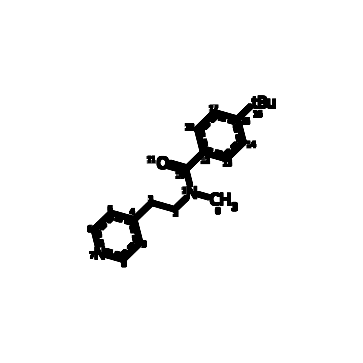 CN(CCc1ccncc1)C(=O)c1ccc(C(C)(C)C)cc1